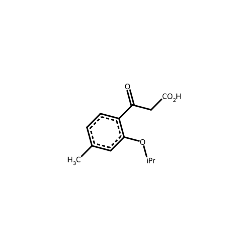 Cc1ccc(C(=O)CC(=O)O)c(OC(C)C)c1